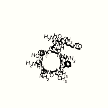 CC(C)C[C@@H]1NC(=O)[C@@H](Cc2ccccc2)NC(=O)[C@H](CCN)NC(=O)[C@@H](NC(=O)[C@H](CCN)NC(=O)[C@@H](NC(=O)CCCN2CCOCC2)C(C)O)CCNC(=O)C(C(C)O)NC(=O)[C@H](CCN)NC(=O)[C@H](CCN)NC1=O